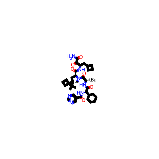 CC(C)(C)[C@H](NC(=O)[C@@H](NC(=O)c1cncnc1)C1CCCCC1)C(=O)N1C[C@]2(C[C@H]1C(=O)NC(CC1CCC1)C(=O)C(N)=O)C(C)(C)C21CCC1